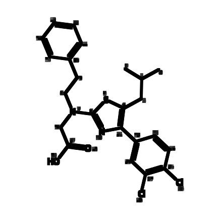 CC(C)Cc1sc(N(CCc2ccccc2)CC(=O)O)nc1-c1ccc(Cl)c(Cl)c1